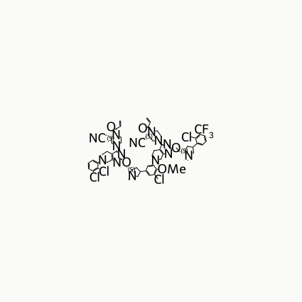 C=CC(=O)N1CCN(c2nc(OC[C@@H]3CC(c4cc(Cl)c(OC)c(N5CCc6c(nc(OC[C@@H]7CC(c8cccc(C(F)(F)F)c8Cl)CN7C)nc6N6CCN(C(=O)C=C)[C@@H](CC#N)C6)C5)c4)CN3C)nc3c2CCN(c2cccc(Cl)c2Cl)C3)C[C@@H]1CC#N